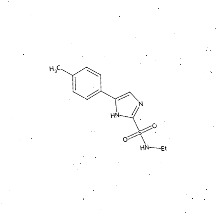 CCNS(=O)(=O)c1ncc(-c2ccc(C)cc2)[nH]1